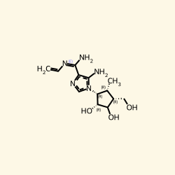 C=C/N=C(/N)c1ncn([C@@H]2[C@H](C)[C@H](CO)C(O)[C@@H]2O)c1N